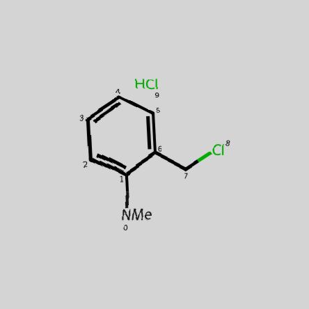 CNc1ccccc1CCl.Cl